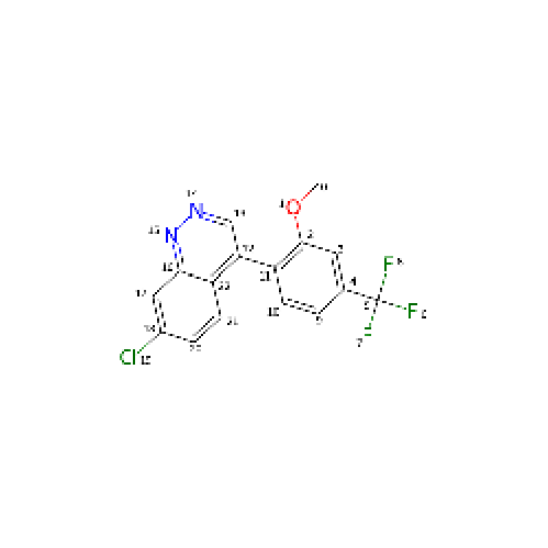 COc1cc(C(F)(F)F)ccc1-c1cnnc2cc(Cl)ccc12